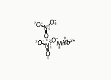 O=[N+]([O-])[O-].O=[N+]([O-])[O-].[Mn+2].[Yb+3]